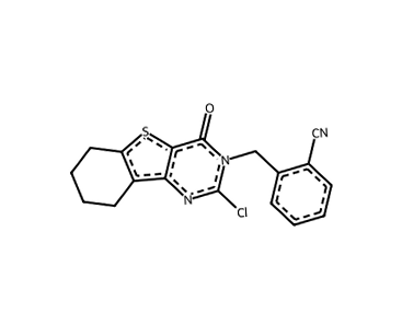 N#Cc1ccccc1Cn1c(Cl)nc2c3c(sc2c1=O)CCCC3